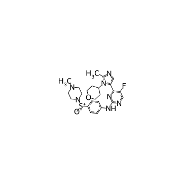 Cc1ncc(-c2nc(Nc3ccc([S+]([O-])N4CCN(C)CC4)cc3)ncc2F)n1C1CCOCC1